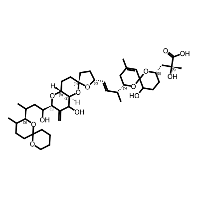 C=C1C(O)[C@@H]2O[C@]3(CC[C@H](C=CC(C)[C@@H]4CC(C)=CC5(O[C@H](C[C@@](C)(O)C(=O)O)CCC5O)O4)O3)CC[C@H]2O[C@@H]1C(O)CC(C)[C@H]1OC2(CCCCO2)CCC1C